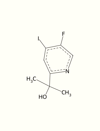 CC(C)(O)c1cc(I)c(F)cn1